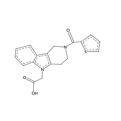 O=C(O)Cn1c2c(c3ccccc31)CN(C(=O)c1cccs1)CC2